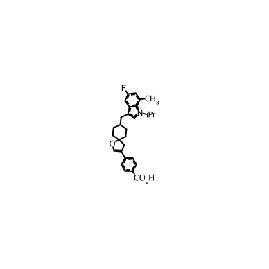 Cc1cc(F)cc2c(CC3CCC4(CC3)CC(c3ccc(C(=O)O)cc3)=CO4)cn(C(C)C)c12